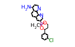 C=P1(c2cnc3c(ccc4c(N)ccnc43)c2)OCCC(c2cccc(Cl)c2)O1